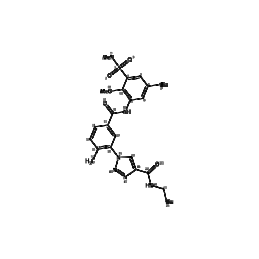 CNS(=O)(=O)c1cc(C(C)(C)C)cc(NC(=O)c2ccc(C)c(-n3cc(C(=O)NCC(C)(C)C)nn3)c2)c1OC